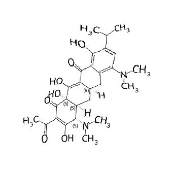 CC(=O)C1=C(O)[C@@H](N(C)C)[C@@H]2C[C@@H]3Cc4c(N(C)C)cc(C(C)C)c(O)c4C(=O)C3=C(O)[C@]2(O)C1=O